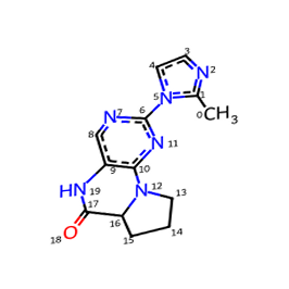 Cc1nccn1-c1ncc2c(n1)N1CCCC1C(=O)N2